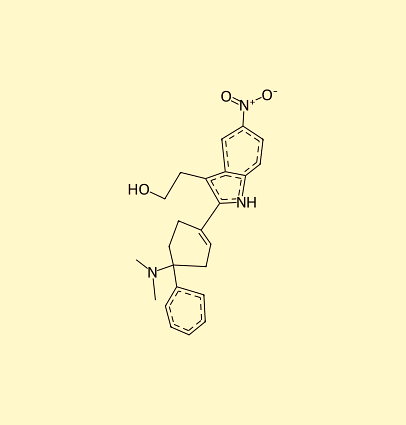 CN(C)C1(c2ccccc2)CC=C(c2[nH]c3ccc([N+](=O)[O-])cc3c2CCO)CC1